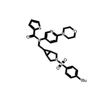 CC(C)(C)c1ccc(S(=O)(=O)N2CC3C(CN(C(=O)c4cccs4)c4ccc(N5CCOCC5)nc4)C3C2)cc1